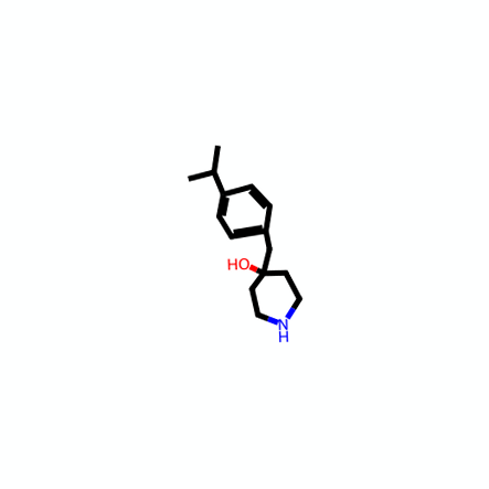 CC(C)c1ccc(CC2(O)CCNCC2)cc1